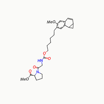 COC(=O)[C@@H]1CCCN1C(=O)CNC(=O)OCCCCCCc1cc2c(cc1OC)C=CC1CC21